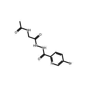 CC(=O)NCC(=O)NNC(=O)c1ccc(Br)cn1